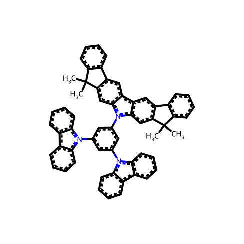 CC1(C)c2ccccc2-c2cc3c4cc5c(cc4n(-c4cc(-n6c7ccccc7c7ccccc76)cc(-n6c7ccccc7c7ccccc76)c4)c3cc21)C(C)(C)c1ccccc1-5